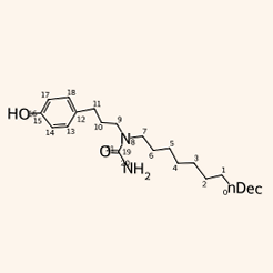 CCCCCCCCCCCCCCCCCN(CCCc1ccc(O)cc1)C(N)=O